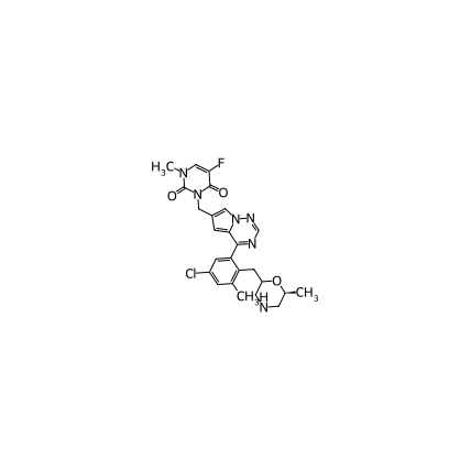 Cc1cc(Cl)cc(-c2ncnn3cc(Cn4c(=O)c(F)cn(C)c4=O)cc23)c1CC1CNC[C@H](C)O1